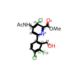 COC(=O)c1nc(-c2ccc(Cl)c(F)c2CO)cc(NC(C)=O)c1Cl